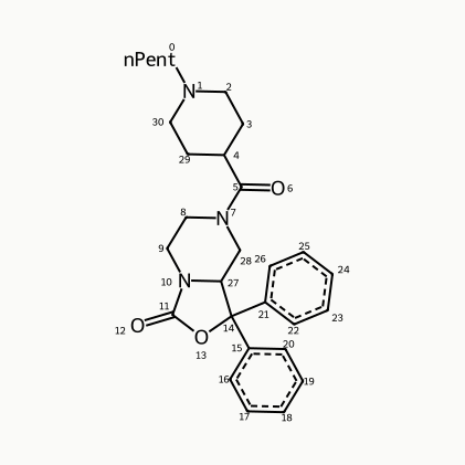 CCCCCN1CCC(C(=O)N2CCN3C(=O)OC(c4ccccc4)(c4ccccc4)C3C2)CC1